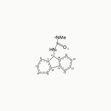 CNC(=O)NC1c2ccccc2-c2ccccc21